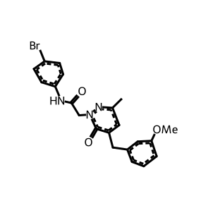 COc1cccc(Cc2cc(C)nn(CC(=O)Nc3ccc(Br)cc3)c2=O)c1